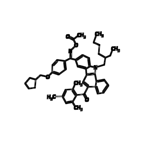 CCCCC(CC)Cn1c2ccc(/C(=N\OC(C)=O)c3ccc(OCC4CCCC4)cc3)cc2c2cc(C(=O)c3c(C)cc(C)cc3C)c3ccccc3c21